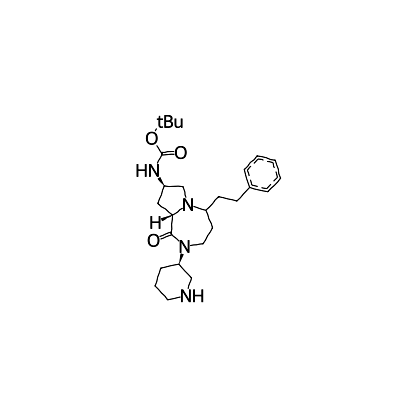 CC(C)(C)OC(=O)N[C@@H]1C[C@H]2C(=O)N([C@@H]3CCCNC3)CCC(CCc3ccccc3)N2C1